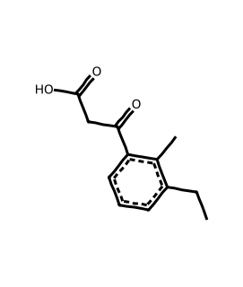 CCc1cccc(C(=O)CC(=O)O)c1C